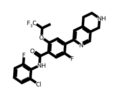 CC(Oc1cc(-c2cc3c(cn2)CNCC3)c(F)cc1C(=O)Nc1c(F)cccc1Cl)C(F)(F)F